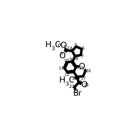 COC(=O)C1CCCC1c1cccc2c1OCCC2(C)C(=O)CBr